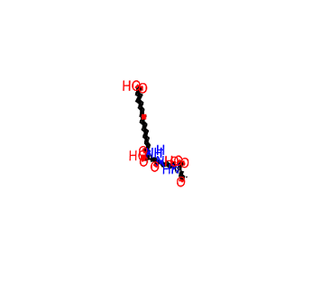 O=[C]CC[C@H](NC(=O)CCCNC(=O)CC[C@H](NC(=O)CCCCCCCCCCCCCCCCC(=O)O)C(=O)O)C(=O)O